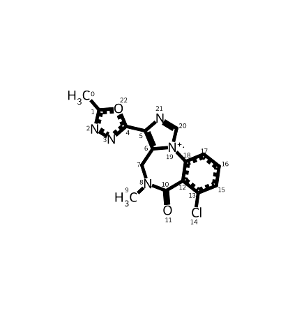 Cc1nnc(C2=C3CN(C)C(=O)c4c(Cl)cccc4[N+]3C=N2)o1